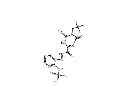 CC(C)(C)Cn1c(=O)cc(C(=O)NCc2ccccc2OC(F)(F)F)[nH]c1=O